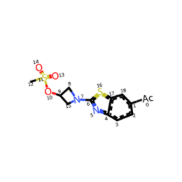 CC(=O)c1ccc2nc(N3CC(OS(C)(=O)=O)C3)sc2c1